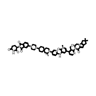 C[C@H]1CC2(CCC(N3CCN(c4ccc5c(c4)C(=O)N(C4CCC(=O)NC4=O)C5=O)CC3)CC2)CCN1c1ccc(Nc2cc(-c3ccnc(N4CCn5c(cc6c5CC(C)(C)C6)C4=O)c3CO)cn(C)c2=O)nc1